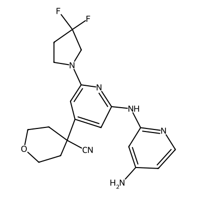 N#CC1(c2cc(Nc3cc(N)ccn3)nc(N3CCC(F)(F)C3)c2)CCOCC1